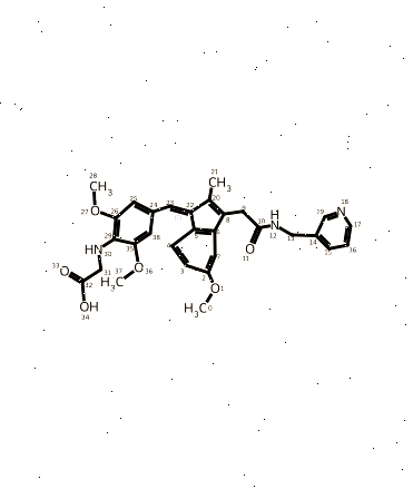 COc1ccc2c(c1)C(CC(=O)NCc1cccnc1)=C(C)/C2=C/c1cc(OC)c(NCC(=O)O)c(OC)c1